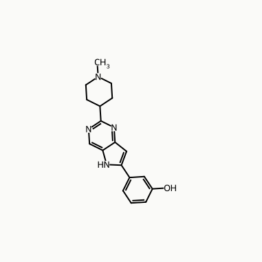 CN1CCC(c2ncc3[nH]c(-c4cccc(O)c4)cc3n2)CC1